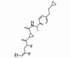 C=C(/C=C\C(=C/C)CCC1CC1)C(C)NC(=C)C1CC1C(=C)C(F)C/C(F)=C\CC